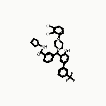 O=C(NC1CCCC1)c1cccc(C(c2cc(-c3cccc(C(F)(F)F)c3)ccc2O)N2CCN(c3cccc(Cl)c3Cl)CC2)c1